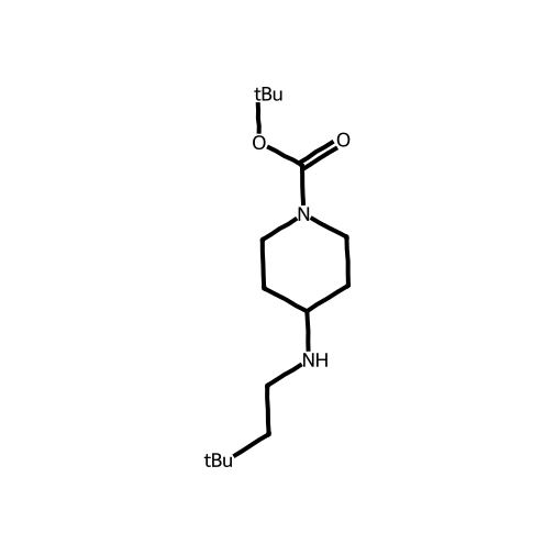 CC(C)(C)CCNC1CCN(C(=O)OC(C)(C)C)CC1